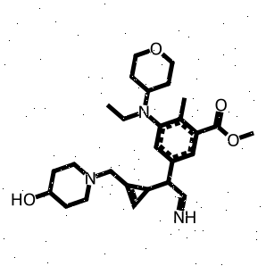 CCN(c1cc(C(C=N)C2C=C2CN2CCC(O)CC2)cc(C(=O)OC)c1C)C1CCOCC1